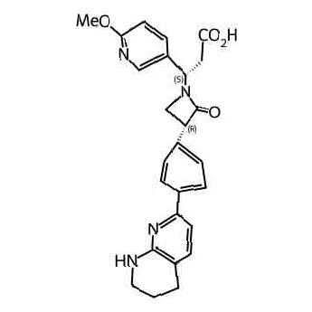 COc1ccc([C@H](CC(=O)O)N2C[C@@H](c3ccc(-c4ccc5c(n4)NCCC5)cc3)C2=O)cn1